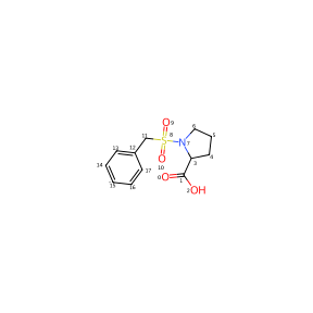 O=C(O)C1CCCN1S(=O)(=O)Cc1cc[c]cc1